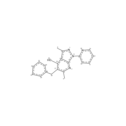 Cc1nc2c(c(C)nn2-c2ccccn2)c(O)c1Cc1ccccc1